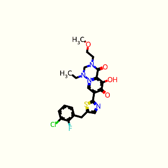 CCN1CN(CCOC)C(=O)c2c(O)c(=O)c(-c3ncc(Cc4cccc(Cl)c4F)s3)cn21